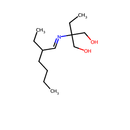 CCCCC(C=NC(CC)(CO)CO)CC